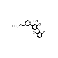 Cl.O=C(O)CCN1CCOC(c2ccc(Oc3c(Cl)cccc3Cl)c(Cl)c2)C1